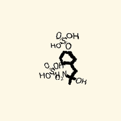 CC(N)(O)Cc1ccccc1.O=S(=O)(O)O.O=S(=O)(O)O